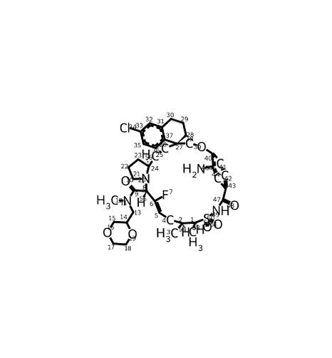 C[C@@H]1[C@@H](C)C/C=C(\F)[C@H](C(=O)N(C)CC2COCCO2)N2CCC[C@H]2CC[C@@]2(CCCc3cc(Cl)ccc32)COc2ccc(cc2N)C(=O)NS1(=O)=O